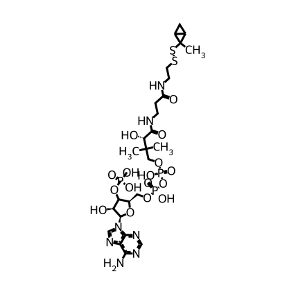 CC1(SSCCNC(=O)CCNC(=O)[C@@H](O)C(C)(C)COP(=O)(O)OP(=O)(O)OC[C@H]2O[C@@H](n3cnc4c(N)ncnc43)[C@@H](O)C2OP(=O)(O)O)C2CC21